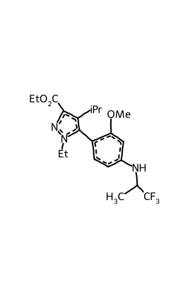 CCOC(=O)c1nn(CC)c(-c2ccc(NC(C)C(F)(F)F)cc2OC)c1C(C)C